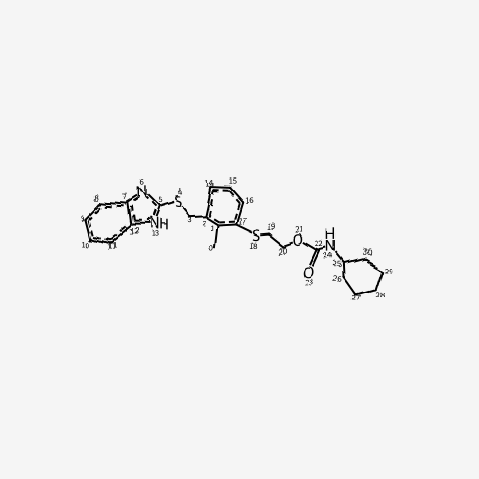 Cc1c(CSc2nc3ccccc3[nH]2)cccc1SCCOC(=O)NC1CCCCC1